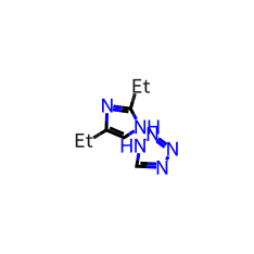 CCc1c[nH]c(CC)n1.c1nnn[nH]1